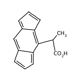 CC(C(=O)O)c1c2c(cc3c1=CC=C3)=CC=C2